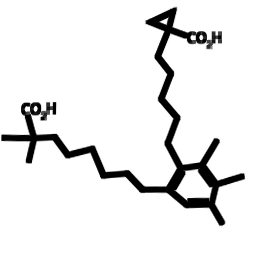 Cc1cc(CCCCCCC(C)(C)C(=O)O)c(CCCCCC2(C(=O)O)CC2)c(C)c1C